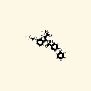 CCOc1cccc2c(NC(=O)c3ccc(Oc4ccccc4)cc3)c(C(N)=O)oc12